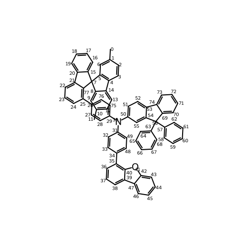 Cc1ccc2c(c1)C1(c3cc(C)ccc3-2)c2ccccc2-c2cccc(-c3ccc(N(c4ccc(-c5cccc6c5oc5ccccc56)cc4)c4ccc5c(c4)C(c4ccccc4)(c4ccccc4)c4ccccc4-5)cc3)c21